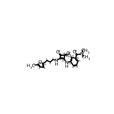 Cc1ccc(CCCNc2c(Nc3cccc(C(=O)N(C)C)c3O)c(=O)c2=O)o1